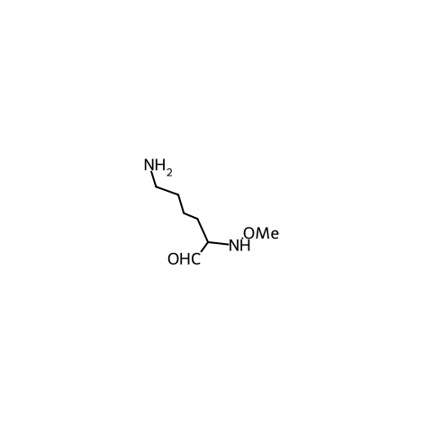 CONC(C=O)CCCCN